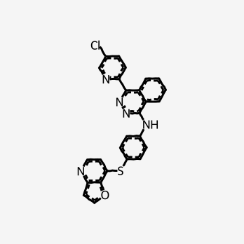 Clc1ccc(-c2nnc(Nc3ccc(Sc4ccnc5ccoc45)cc3)c3ccccc23)nc1